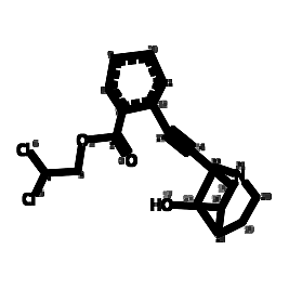 O=C(OCC(Cl)Cl)c1ccccc1C#CC1C(O)C2CCN1CC2